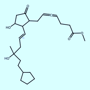 COC(=O)CCC=C=CCC1C(=O)CC(O)C1/C=C/CC(C)(O)CCC1CCCC1